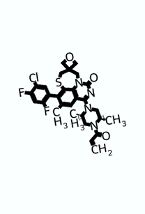 C=CC(=O)N1C[C@H](C)N(c2nc(=O)n3c4c(c(-c5cc(Cl)c(F)cc5F)c(C)cc24)SCC2(COC2)C3)C[C@H]1C